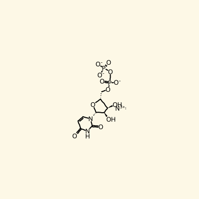 O=c1ccn([C@@H]2O[C@H](COP(=O)([O-])OP(=O)([O-])[O-])[C@@H](O)[C@H]2O)c(=O)[nH]1.[N+3]